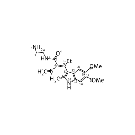 C=N/C(C(=O)NCCN)=C(/CC)c1c(C)[nH]c2cc(OC)c(OC)cc12